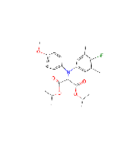 COc1ccc(N(c2cc(C)c(F)c(C)c2)C(C(=O)OC(C)C)C(=O)OC(C)C)cc1